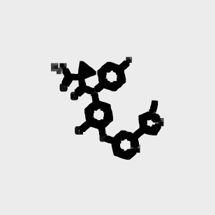 Cn1cc(-c2cc(Oc3ccc(N(C(=O)C4(C(N)=O)CC4)c4ccc(F)cc4)cc3Cl)ccn2)cn1